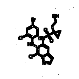 O=S(=O)(Nc1cc2ccnn2c(Cl)c1Nc1ccc(Br)cc1Cl)C1(CCO)CC1